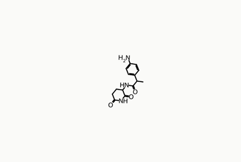 CC(C(=O)NC1CCC(=O)NC1=O)c1ccc(N)cc1